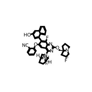 N#Cc1ccccc1Oc1cc2c(N3C[C@H]4CC[C@@H](C3)N4)nc(OC[C@@]34CCCN3C[C@H](F)C4)nc2c(F)c1-c1cc(O)cc2ccccc12